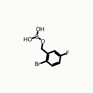 OB(O)OCc1cc(F)ccc1Br